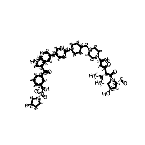 CC(C)[C@@H](C(=O)N1C[C@H](O)C[C@H]1C=O)c1cc(N2CCN(CC3CCN(c4ncc(-c5cnc6[nH]cc(C(=O)c7cccc(NS(=O)(=O)N8CC[C@@H](F)C8)c7)c6c5)cn4)CC3)CC2)no1